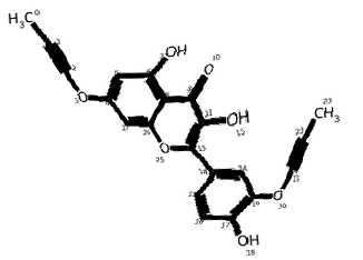 CC#COc1cc(O)c2c(=O)c(O)c(-c3ccc(O)c(OC#CC)c3)oc2c1